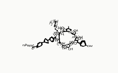 CCCCCOc1ccc(-c2ccc(-c3ccc(C(=O)N[C@H]4C[C@@H](O)[C@@H](NCCNCCN)NC(=O)C5[C@@H](O)[C@@H](C)CN5C(=O)C([C@@H](C)O)NC(=O)C([C@H](O)[C@@H](O)c5ccc(O)cc5)NC(=O)C5C[C@@H](O)CN5C(=O)C([C@@H](C)O)NC4=O)cc3)cc2)cc1